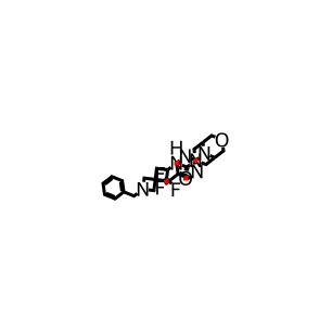 O=C(NC1CC2(C1)CN(Cc1ccccc1)C2)N1CC2COCC(C1)N2c1ncc(C(F)(F)F)cn1